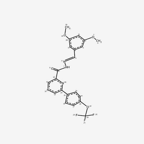 COc1cc(C=NNC(=O)c2cncc(-c3ccc(OC(F)(F)F)cc3)n2)cc(OC)c1